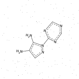 Nc1cnn(-c2ncncn2)c1N